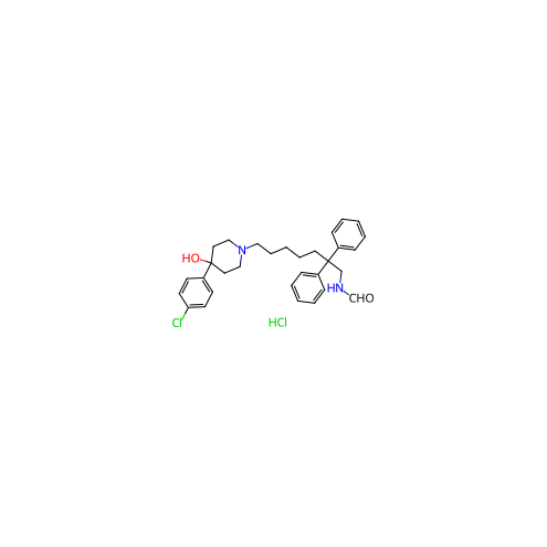 Cl.O=CNCC(CCCCCN1CCC(O)(c2ccc(Cl)cc2)CC1)(c1ccccc1)c1ccccc1